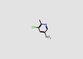 Cc1ncc([N+](=O)[O-])cc1Cl